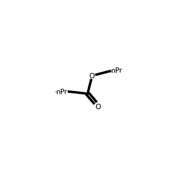 [CH2]C[CH]C(=O)OCCC